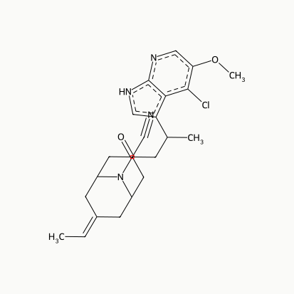 CC=C1CC2CC(C#N)CC(C1)N2C(=O)CC(C)c1c[nH]c2ncc(OC)c(Cl)c12